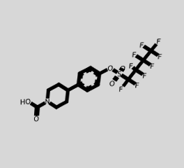 O=C(O)N1CCC(c2ccc(OS(=O)(=O)C(F)(F)C(F)(F)C(F)(F)C(F)(F)F)cc2)CC1